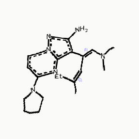 CC/C(C)=C\C(=C/N(C)C)c1c(N)nn2ccc(N3CCCC3)nc12